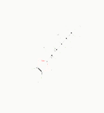 FC1=C(F)OC(C(F)(F)C(F)(F)C(F)(F)C(F)(F)C(F)(F)F)O1